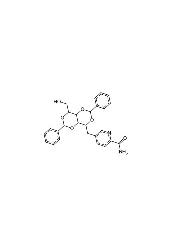 NC(=O)c1ccc(CC2OC(c3ccccc3)OC3C(CO)OC(c4ccccc4)OC23)cn1